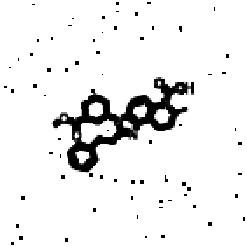 COC(=O)C1CCCC(n2c(CCc3ccccc3)nc3c4c(ccc32)N(C(=O)O)[C@@H](C)CC4)C1